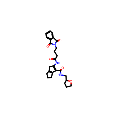 O=C(CCCN1C(=O)c2ccccc2C1=O)NC1=C(C(=O)NCC2CCCO2)C2=C(CCC2)C1